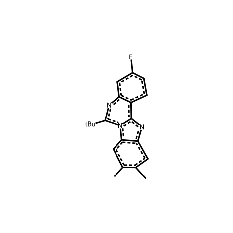 Cc1cc2nc3c4ccc(F)cc4nc(C(C)(C)C)n3c2cc1C